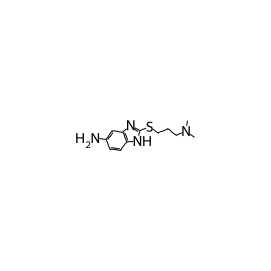 CN(C)CCCSc1nc2cc(N)ccc2[nH]1